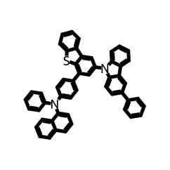 c1ccc(-c2ccc3c(c2)c2ccccc2n3-c2cc(-c3ccc(N(c4ccccc4)c4cccc5ccccc45)cc3)c3sc4ccccc4c3c2)cc1